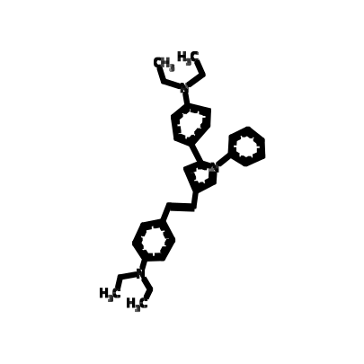 CCN(CC)c1ccc(C=Cc2cc(-c3ccc(N(CC)CC)cc3)n(-c3ccccc3)c2)cc1